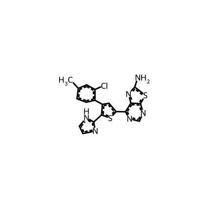 Cc1ccc(-c2cc(-c3ncnc4sc(N)nc34)sc2-c2ncc[nH]2)c(Cl)c1